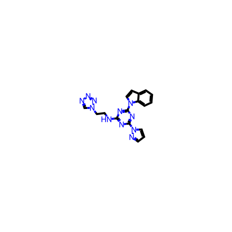 c1ccc2c(c1)ccn2-c1nc(NCCn2cnnn2)nc(-n2cccn2)n1